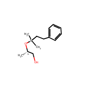 C[C@@H](CO)O[Si](C)(C)CCc1ccccc1